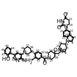 COC1(CN2CCC(n3ccc4cc(N5CCC(=O)NC5=O)ccc43)CC2)CCN(C(=O)c2ccc([C@H]3CCCN(c4cc(-c5ccccc5O)nnc4N)C3)c(C)c2)CC1